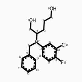 OCCCC(CO)N(Cc1ccccc1)c1ccc(F)c(Cl)c1